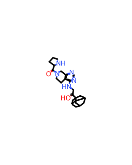 O=C(C1CCCN1)N1CCc2c(ncnc2NC[C@H](O)C23CC4CC(CC(C4)C2)C3)C1